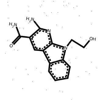 NC(=O)c1cc2c3ccccc3n(CCO)c2nc1N